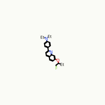 CCC(CF)Oc1ccc2ccc(-c3ccc(N(CC)CC)cc3)nc2c1